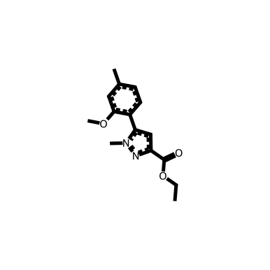 CCOC(=O)c1cc(-c2ccc(C)cc2OC)n(C)n1